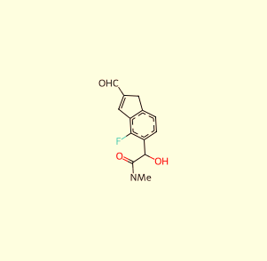 CNC(=O)C(O)c1ccc2c(c1F)C=C(C=O)C2